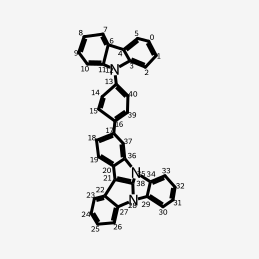 c1ccc2c(c1)c1ccccc1n2-c1ccc(-c2ccc3c4c5ccccc5n5c6ccccc6n(c3c2)c45)cc1